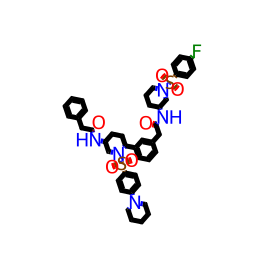 O=C(Cc1cccc(C2CCC(NC(=O)Cc3ccccc3)CN2S(=O)(=O)c2ccc(N3CCCCC3)cc2)c1)NC1CCCN(S(=O)(=O)c2ccc(F)cc2)C1